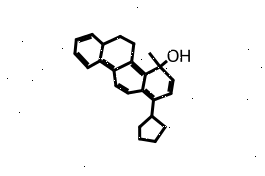 CC1(O)C=CC(C2CCCC2)=c2ccc3c(c21)CCC1C=CC=CC=31